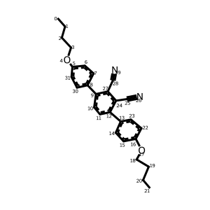 CCCCOc1ccc(-c2ccc(-c3ccc(OCCCC)cc3)c(C#N)c2C#N)cc1